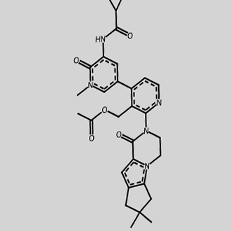 CC(=O)OCc1c(-c2cc(NC(=O)C3CC3)c(=O)n(C)c2)ccnc1N1CCn2c(cc3c2CC(C)(C)C3)C1=O